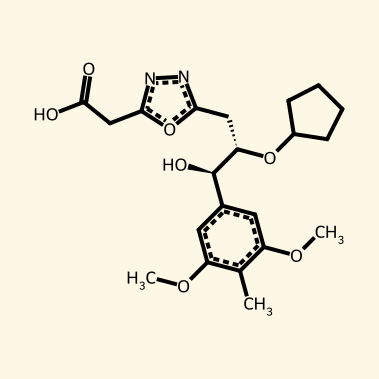 COc1cc([C@@H](O)[C@H](Cc2nnc(CC(=O)O)o2)OC2CCCC2)cc(OC)c1C